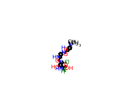 CCN(CC)c1ccc2cc(C(=O)Nc3ccc4[nH]c(C(=O)N5C[C@@H](CCl)c6c5cc(O)c5[nH]c(C(F)(F)F)c(C(=O)O)c65)cc4c3)oc2c1